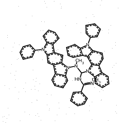 C/N=C(\NC(N(C)n1c2ccccc2c2cc3c(cc21)c1ccccc1n3-c1ccccc1)n1c2ccccc2c2ccc3c(c4ccccc4n3-c3ccccc3)c21)c1ccccc1